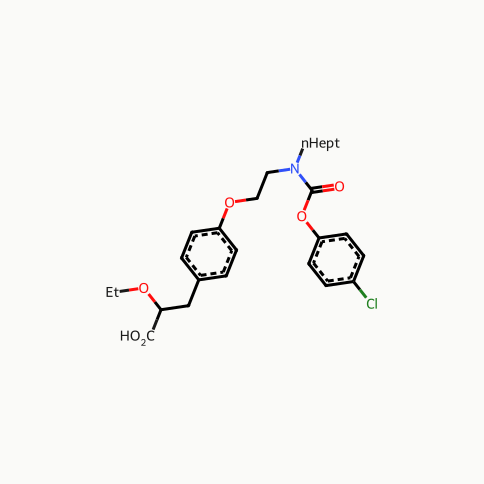 CCCCCCCN(CCOc1ccc(CC(OCC)C(=O)O)cc1)C(=O)Oc1ccc(Cl)cc1